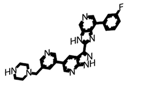 Fc1cccc(-c2cncc3[nH]c(-c4n[nH]c5ncc(-c6cncc(CN7CCNCC7)c6)cc45)nc23)c1